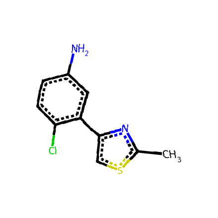 Cc1nc(-c2cc(N)ccc2Cl)cs1